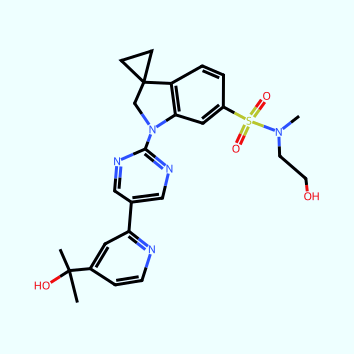 CN(CCO)S(=O)(=O)c1ccc2c(c1)N(c1ncc(-c3cc(C(C)(C)O)ccn3)cn1)CC21CC1